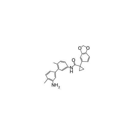 Cc1ccc(-c2cc(NC(=O)C3(c4ccc5c(c4)OCO5)CC3)ccc2C)cc1N